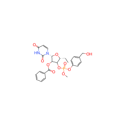 CC[C@H]1O[C@@H](n2ccc(=O)[nH]c2=O)C(OC(=O)c2ccccc2)C1OP(=O)(OC)Oc1ccc(CO)cc1